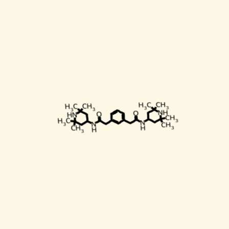 CC1(C)CC(NC(=O)Cc2cccc(CC(=O)NC3CC(C)(C)NC(C)(C)C3)c2)CC(C)(C)N1